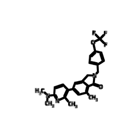 Cc1cc(-c2ccc(N(C)C)nc2C)cc2c1C(=O)N(Cc1ccc(OC(F)(F)F)cc1)C2